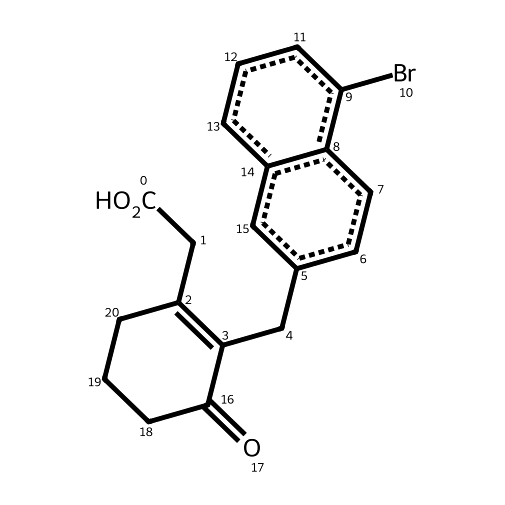 O=C(O)CC1=C(Cc2ccc3c(Br)cccc3c2)C(=O)CCC1